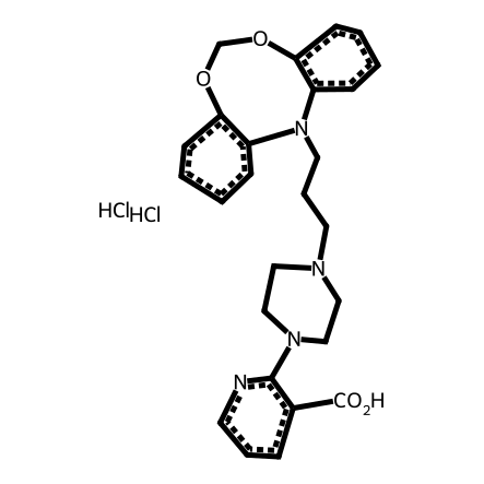 Cl.Cl.O=C(O)c1cccnc1N1CCN(CCCN2c3ccccc3OCOc3ccccc32)CC1